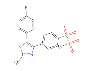 CS(=O)(=O)S(=O)(=O)c1ccc(-c2nc(C(F)(F)F)sc2-c2ccc(F)cc2)cc1